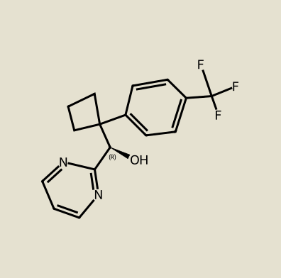 O[C@@H](c1ncccn1)C1(c2ccc(C(F)(F)F)cc2)CCC1